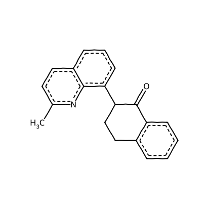 Cc1ccc2cccc(C3CCc4ccccc4C3=O)c2n1